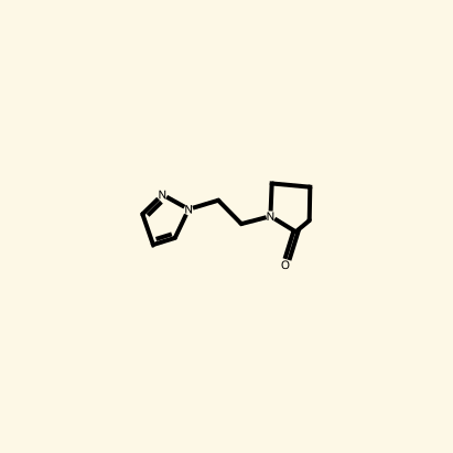 O=C1CCCN1CCn1c[c]cn1